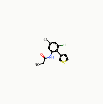 C[CH]c1cc(Cl)c(-c2ccsc2)c(NC(=O)CC#N)c1